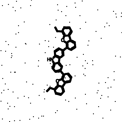 CCc1cccc2c1oc1c(-c3ccc4[nH]c5ccc(-c6cccc7c6oc6c(CC)cccc67)cc5c4c3)cccc12